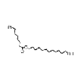 CC(C)CCCCCCC(=O)OCCCCCCCCCCCCO